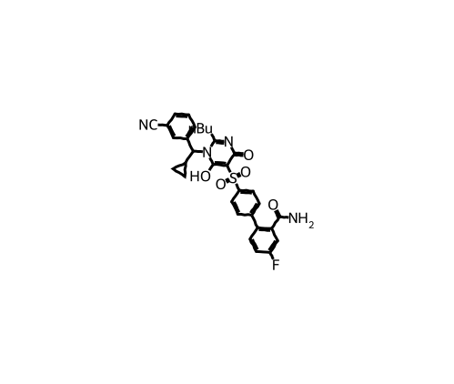 CCCCc1nc(=O)c(S(=O)(=O)c2ccc(-c3ccc(F)cc3C(N)=O)cc2)c(O)n1C(c1cccc(C#N)c1)C1CC1